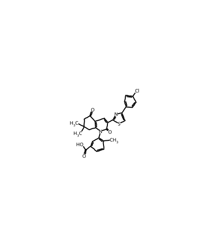 Cc1ccc(C(=O)O)cc1-n1c2c(cc(-c3nc(-c4ccc(Cl)cc4)cs3)c1=O)C(=O)CC(C)(C)C2